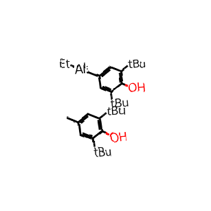 C[CH2][Al].Cc1cc(C(C)(C)C)c(O)c(C(C)(C)C)c1.Cc1cc(C(C)(C)C)c(O)c(C(C)(C)C)c1